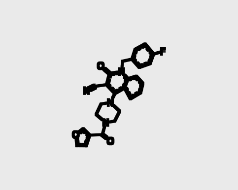 N#Cc1c(N2CCN(C(=O)c3ccoc3)CC2)c2ccccc2n(Cc2ccc(F)cc2)c1=O